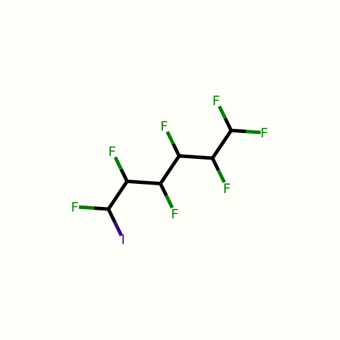 FC(F)C(F)C(F)C(F)C(F)C(F)I